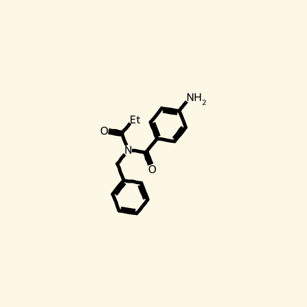 CCC(=O)N(Cc1ccccc1)C(=O)c1ccc(N)cc1